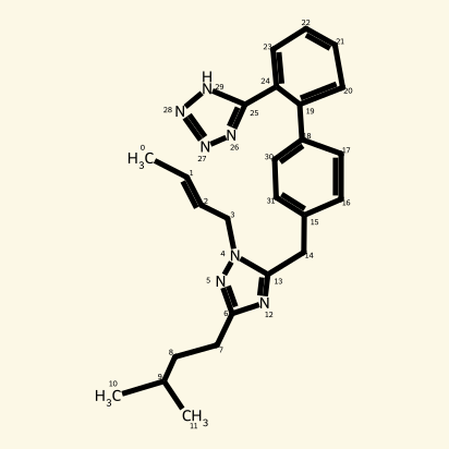 CC=CCn1nc(CCC(C)C)nc1Cc1ccc(-c2ccccc2-c2nnn[nH]2)cc1